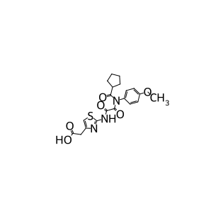 COc1ccc(N(C(=O)C(=O)Nc2nc(CC(=O)O)cs2)C(=O)C2CCCC2)cc1